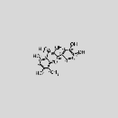 Cc1c(O)cc(O)c2c1OC(c1ccc(O)c(O)c1)C(O)C2C